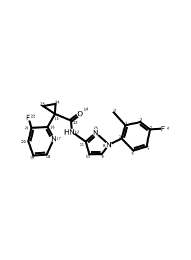 Cc1cc(F)ccc1-n1ccc(NC(=O)C2(c3ncccc3F)CC2)n1